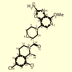 COc1ncc(N2CCO[C@@H](C(=O)N3CCc4cc(Cl)cc(Cl)c4[C@@H]3C)C2)c2oc(N)nc12